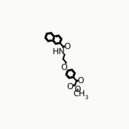 COC(=O)C(=O)c1ccc(OCCCNC(=O)c2ccc3ccccc3c2)cc1